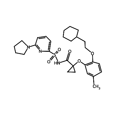 Cc1ccc(OCCC2CCCCC2)c(OC2(C(=O)NS(=O)(=O)c3cccc(N4CCCC4)n3)CC2)c1